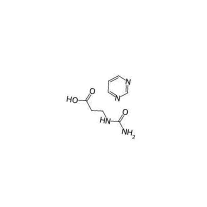 NC(=O)NCCC(=O)O.c1cncnc1